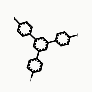 Ic1ccc(-c2cc(-c3ccc(I)cc3)cc(-c3ccc(I)cc3)c2)cc1